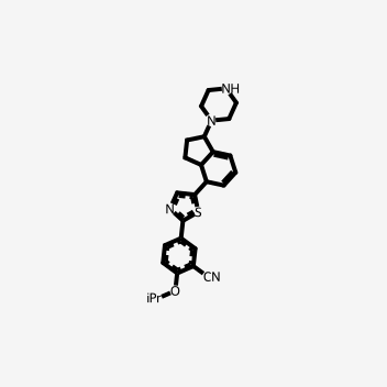 CC(C)Oc1ccc(-c2ncc(C3C=CC=C4C3CCC4N3CCNCC3)s2)cc1C#N